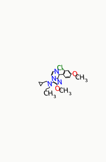 CCCN(CC1CC1)c1c(OC)nc2c(-c3ccc(OC)cc3Cl)nccn12